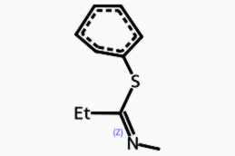 CC/C(=N/C)Sc1ccccc1